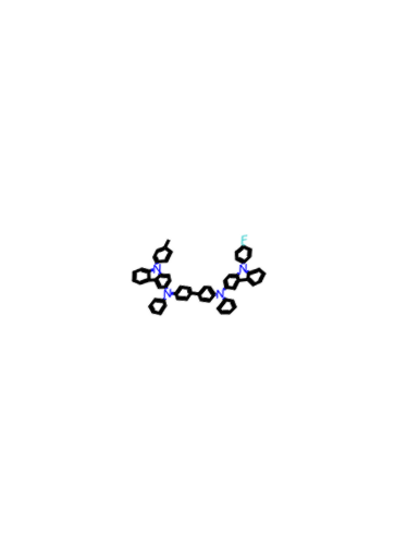 Cc1ccc(-n2c3ccccc3c3cc(N(c4ccccc4)c4ccc(-c5ccc(N(c6ccccc6)c6ccc7c(c6)c6ccccc6n7-c6ccc(F)cc6)cc5)cc4)ccc32)cc1